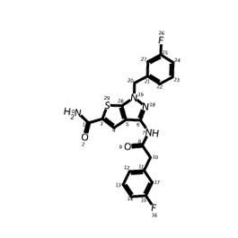 NC(=O)c1cc2c(NC(=O)Cc3cccc(F)c3)nn(Cc3cccc(F)c3)c2s1